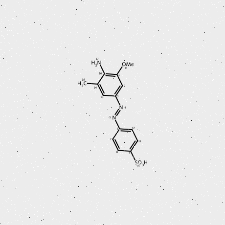 COc1cc(N=Nc2ccc(S(=O)(=O)O)cc2)cc(C)c1N